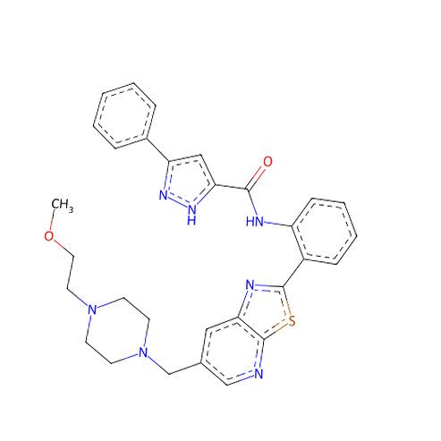 COCCN1CCN(Cc2cnc3sc(-c4ccccc4NC(=O)c4cc(-c5ccccc5)n[nH]4)nc3c2)CC1